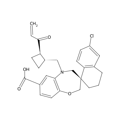 C=CC(=O)[C@@H]1CC[C@H]1CN1C[C@@]2(CCCc3cc(Cl)ccc32)COc2ccc(C(=O)O)cc21